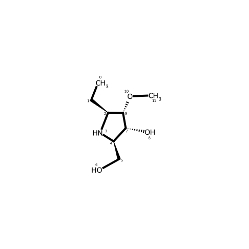 CC[C@@H]1N[C@H](CO)[C@@H](O)[C@H]1OC